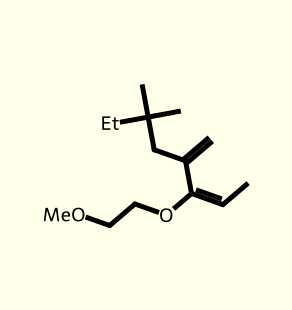 C=C(CC(C)(C)CC)/C(=C\C)OCCOC